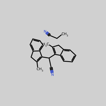 CC1=C(C(C#N)C2=C(C)Cc3ccccc32)c2ccccc2C1.CCC#N